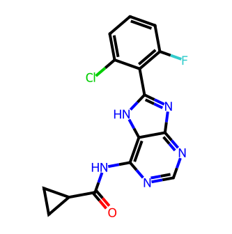 O=C(Nc1ncnc2nc(-c3c(F)cccc3Cl)[nH]c12)C1CC1